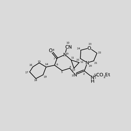 CCOC(=O)NC(=NCCC(C(=O)N(C#N)C1CC1)C1CCCCC1)N1CCOCC1